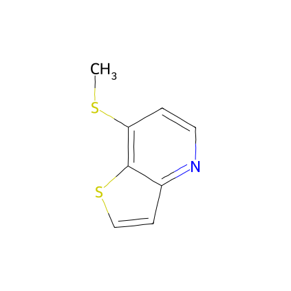 CSc1ccnc2ccsc12